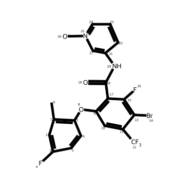 Cc1cc(F)ccc1Oc1cc(C(F)(F)F)c(Br)c(F)c1C(=O)Nc1ccc[n+]([O-])c1